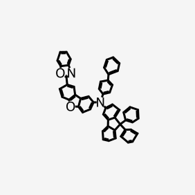 c1ccc(-c2ccc(N(c3ccc4c(c3)-c3ccccc3C4(c3ccccc3)c3ccccc3)c3ccc4oc5ccc(-c6nc7ccccc7o6)cc5c4c3)cc2)cc1